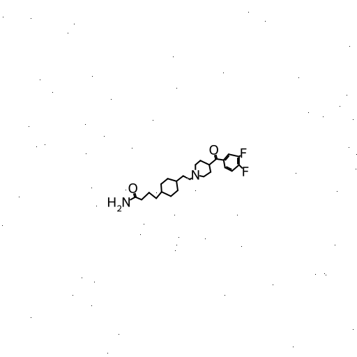 NC(=O)CCCC1CCC(CCN2CCC(C(=O)c3ccc(F)c(F)c3)CC2)CC1